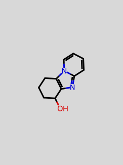 OC1CCCc2c1nc1ccccn21